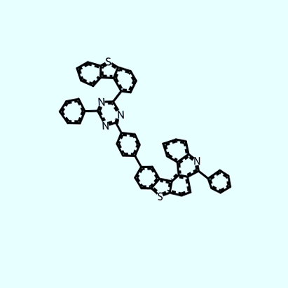 c1ccc(-c2nc(-c3ccc(-c4ccc5sc6ccc7c(-c8ccccc8)nc8ccccc8c7c6c5c4)cc3)nc(-c3cccc4sc5ccccc5c34)n2)cc1